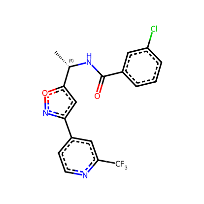 C[C@H](NC(=O)c1cccc(Cl)c1)c1cc(-c2ccnc(C(F)(F)F)c2)no1